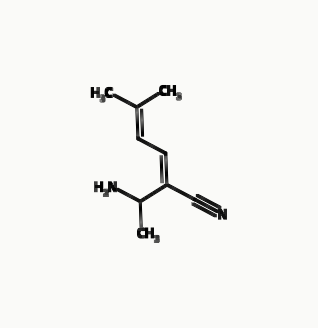 CC(C)=C/C=C(/C#N)C(C)N